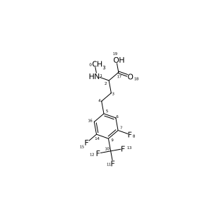 CNC(CCc1cc(F)c(C(F)(F)F)c(F)c1)C(=O)O